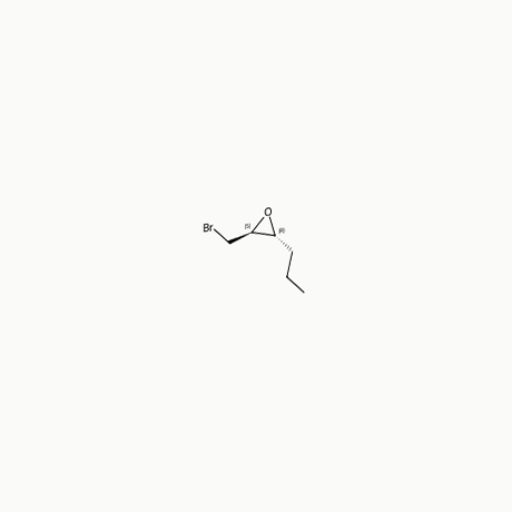 CCC[C@H]1O[C@@H]1CBr